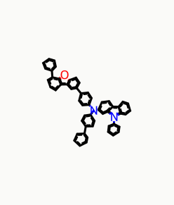 c1ccc(-c2ccc(N(c3ccc(-c4ccc5oc6c(-c7ccccc7)cccc6c5c4)cc3)c3ccc4c5ccccc5n(-c5ccccc5)c4c3)cc2)cc1